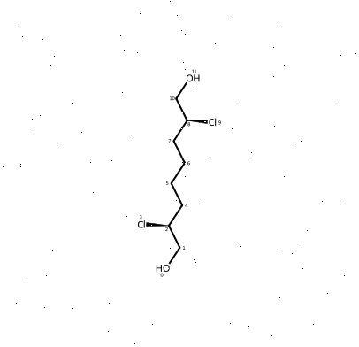 OC[C@@H](Cl)CCCC[C@H](Cl)CO